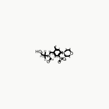 Cc1cc(N2CCOCC2)c([N+](=O)[O-])cc1CN(C=O)C(C)(C)CO